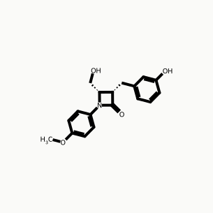 COc1ccc(N2C(=O)[C@@H](Cc3cccc(O)c3)[C@H]2CO)cc1